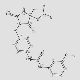 COc1cccc(NC(=O)Nc2ccc(CN3C(=N)NC(C)(CC(C)C)C3=O)cc2)c1